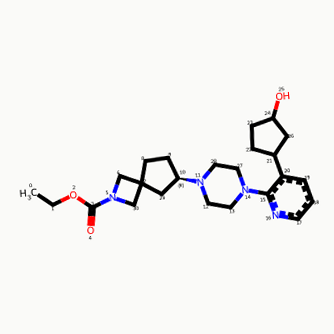 CCOC(=O)N1CC2(CC[C@@H](N3CCN(c4ncccc4C4CCC(O)C4)CC3)C2)C1